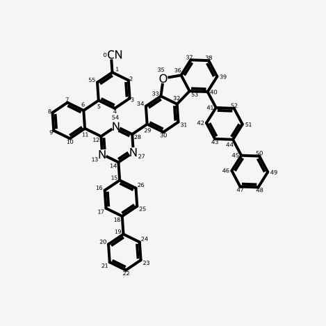 N#Cc1cccc(-c2ccccc2-c2nc(-c3ccc(-c4ccccc4)cc3)nc(-c3ccc4c(c3)oc3cccc(-c5ccc(-c6ccccc6)cc5)c34)n2)c1